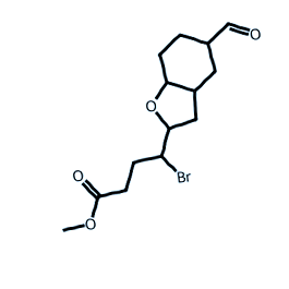 COC(=O)CCC(Br)C1CC2CC(C=O)CCC2O1